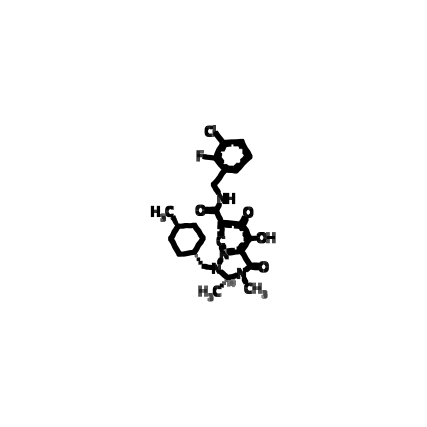 C[C@H]1N(C)C(=O)c2c(O)c(=O)c(C(=O)NCc3cccc(Cl)c3F)cn2N1C[C@H]1CC[C@H](C)CC1